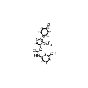 O=C(Nc1cccc(O)c1)Oc1cnn(-c2ccc(Cl)cc2)c1C(F)(F)F